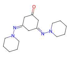 O=C1C/C(=N\N2CCCCC2)C/C(=N\N2CCCCC2)C1